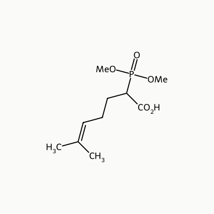 COP(=O)(OC)C(CCC=C(C)C)C(=O)O